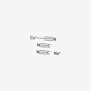 N#[C][Cu+].[C-]#N.[C-]#N.[Na+]